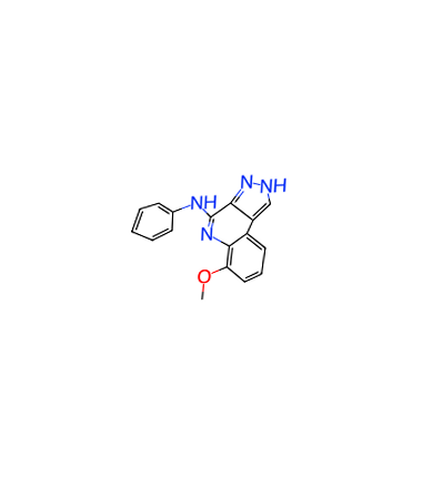 COc1cccc2c1nc(Nc1ccccc1)c1n[nH]cc12